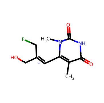 Cc1c(/C=C(/CO)CF)n(C)c(=O)[nH]c1=O